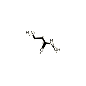 NC[CH]C(=O)NO